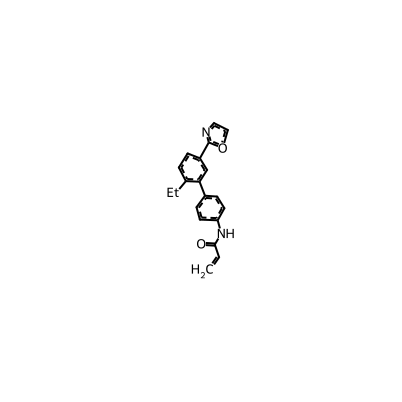 C=CC(=O)Nc1ccc(-c2cc(-c3ncco3)ccc2CC)cc1